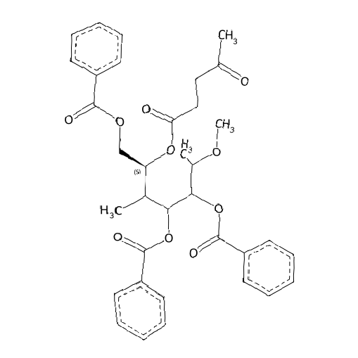 COC(C)C(OC(=O)c1ccccc1)C(OC(=O)c1ccccc1)C(C)[C@@H](COC(=O)c1ccccc1)OC(=O)CCC(C)=O